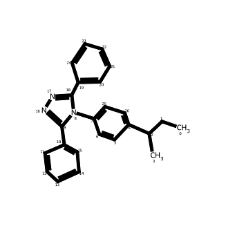 CCC(C)c1ccc(-n2c(-c3[c]cccc3)nnc2-c2ccccc2)cc1